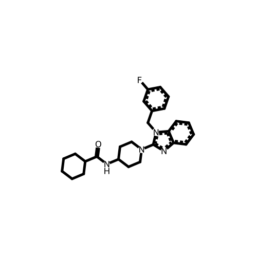 O=C(NC1CCN(c2nc3ccccc3n2Cc2cccc(F)c2)CC1)C1CCCCC1